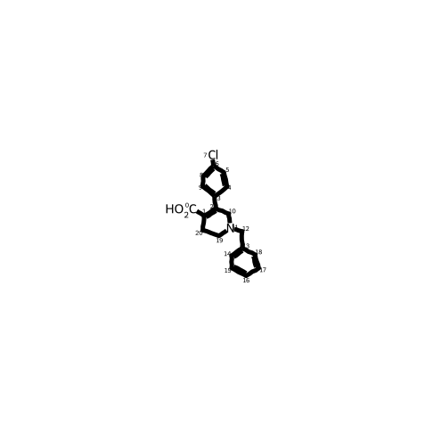 O=C(O)C1=C(c2ccc(Cl)cc2)CN(Cc2ccccc2)CC1